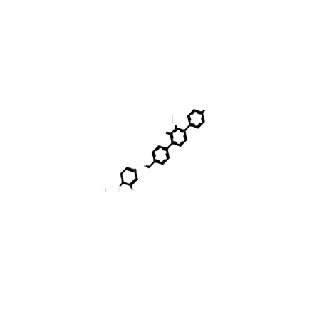 CCCCC1CC=C(OCc2ccc(-c3ccc(-c4ccc(CC)cc4)c(F)c3F)cc2)C=C1F